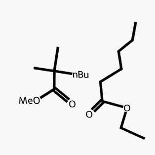 CCCCC(C)(C)C(=O)OC.CCCCCC(=O)OCC